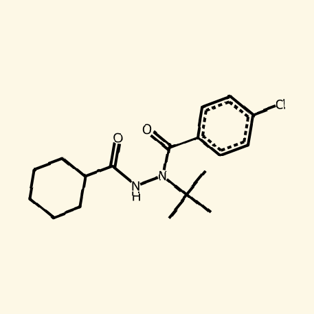 CC(C)(C)N(NC(=O)C1CCCCC1)C(=O)c1ccc(Cl)cc1